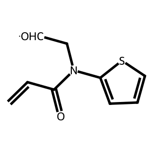 C=CC(=O)N(C[C]=O)c1cccs1